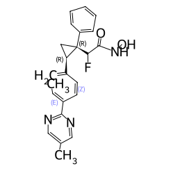 C=C(/C=C\C(=C/C)c1ncc(C)cn1)[C@H]1C[C@@]1(c1ccccc1)C(F)C(=O)NO